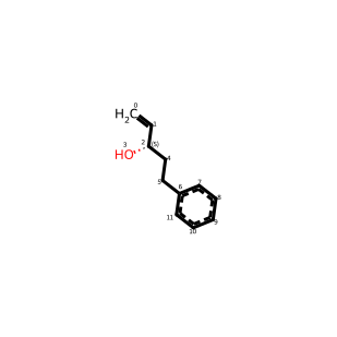 C=C[C@@H](O)CCc1ccccc1